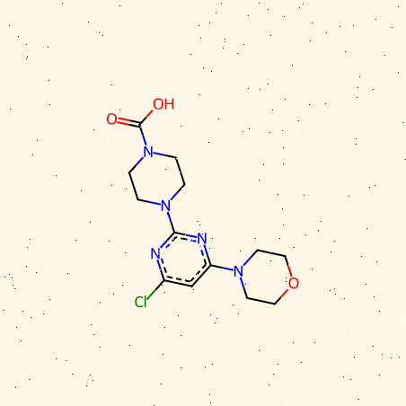 O=C(O)N1CCN(c2nc(Cl)cc(N3CCOCC3)n2)CC1